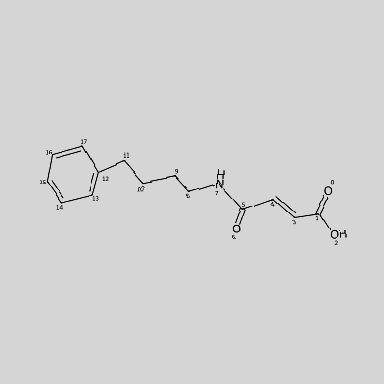 O=C(O)/C=C/C(=O)NCCCCc1ccccc1